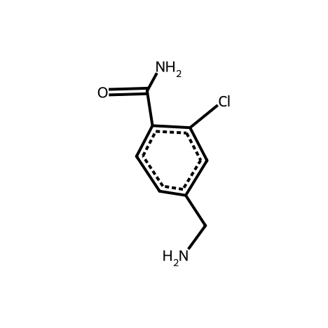 NCc1ccc(C(N)=O)c(Cl)c1